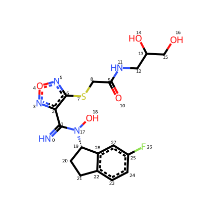 N=C(c1nonc1SCC(=O)NCC(O)CO)N(O)[C@H]1CCc2ccc(F)cc21